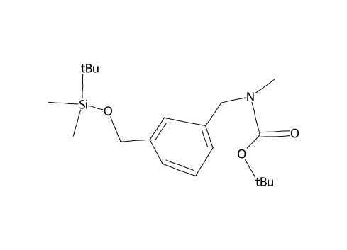 CN(Cc1cccc(CO[Si](C)(C)C(C)(C)C)c1)C(=O)OC(C)(C)C